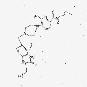 CCc1nc2ccc(CN3CCN(c4ccc(C(=O)NC5CC5)nc4F)CC3)c(F)c2[nH]c1=O